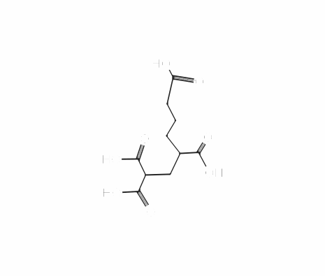 O=C(O)CCCC(CC(C(=O)O)C(=O)O)C(=O)O